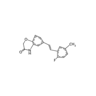 Cc1ccc(F)c(C=Cc2ccc3c(c2)NC(=O)CO3)c1